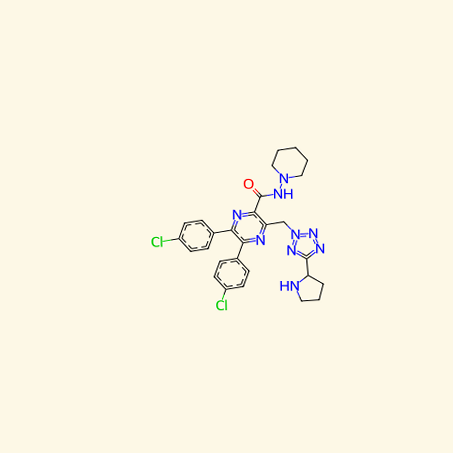 O=C(NN1CCCCC1)c1nc(-c2ccc(Cl)cc2)c(-c2ccc(Cl)cc2)nc1Cn1nnc(C2CCCN2)n1